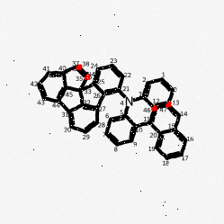 c1ccc(N(c2ccccc2-c2cccc3ccccc23)c2cccc3c2-c2cccc4c2C32c3ccccc3-c3cccc-4c32)cc1